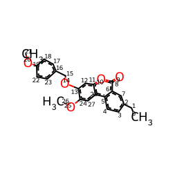 CCc1ccc2c(c1)c(=O)oc1cc(OCc3ccc(OC)cc3)c(OC)cc12